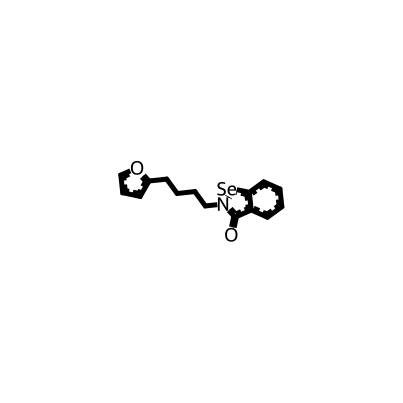 O=c1c2ccccc2[se]n1CCCCc1ccco1